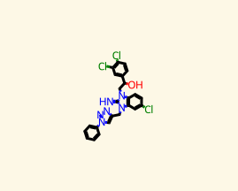 N=c1n(Cc2cn(-c3ccccc3)nn2)c2cc(Cl)ccc2n1CC(O)c1ccc(Cl)c(Cl)c1